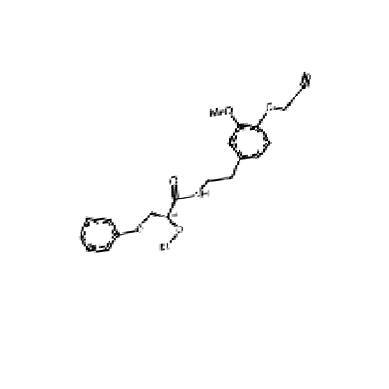 C#CCOc1ccc(CCNC(=O)[C@H](COc2ccccc2)OCC)cc1OC